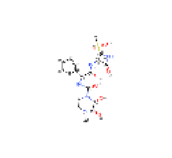 CCN1CCN(C(=O)NC(C(=O)N[C@@H]2C(=O)N[C@@H]2S(C)(=O)=O)c2ccccc2)C(=O)C1=O